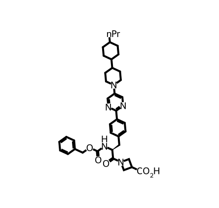 CCCC1CCC(C2CCN(c3cnc(-c4ccc(C[C@H](NC(=O)OCc5ccccc5)C(=O)N5CC(C(=O)O)C5)cc4)nc3)CC2)CC1